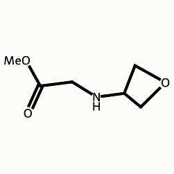 COC(=O)CNC1COC1